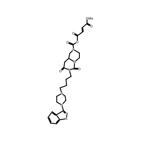 COC(=O)/C=C/C(=O)OC(=O)N1CCN2C(=O)N(CCCCN3CCN(c4nsc5ccccc45)CC3)C(=O)CC2C1